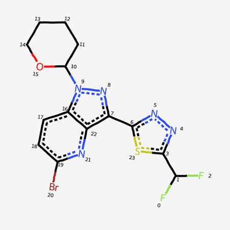 FC(F)c1nnc(-c2nn(C3CCCCO3)c3ccc(Br)nc23)s1